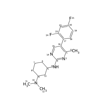 Cc1nc(NC2CCCC(N(C)C)C2)ncc1-c1ccc(F)cc1F